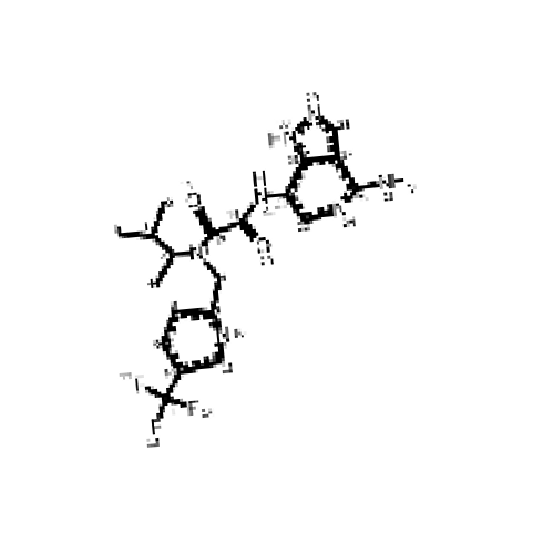 CC(C)C(C)N(Cc1ccc(C(F)(F)F)cn1)C(=O)C(=O)Nc1cnc(N)c2cn[nH]c12